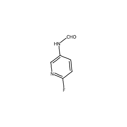 O=CNc1ccc(F)nc1